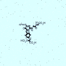 CCCCCNC(=O)[C@H](Cc1ccc(OC(C(=O)O)C(=O)O)cc1)NC(=O)NCC(=O)NCC(=O)O